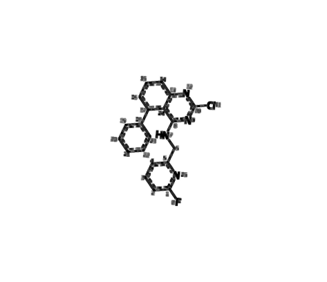 Fc1cccc(CNc2nc(Cl)nc3cccc(-c4ccccc4)c23)n1